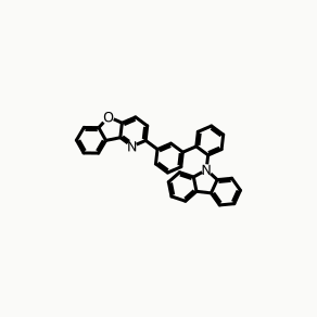 c1cc(-c2ccc3oc4ccccc4c3n2)cc(-c2ccccc2-n2c3ccccc3c3ccccc32)c1